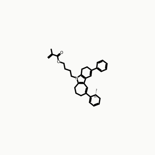 C=C(C)C(=O)OCCCCn1c2c(c3c1CCC(c1ccccc1)=C3)C=C(C1=CC=CC[C@H]1C)CCC2